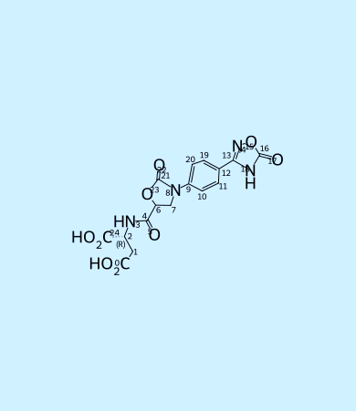 O=C(O)C[C@@H](NC(=O)C1CN(c2ccc(-c3noc(=O)[nH]3)cc2)C(=O)O1)C(=O)O